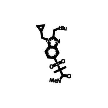 CNC(=O)C(C)(C)S(=O)(=O)c1ccc2c(c1)nc(CC(C)(C)C)n2CC1CC1